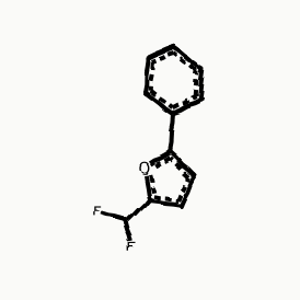 FC(F)c1ccc(-c2ccccc2)o1